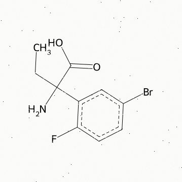 CCC(N)(C(=O)O)c1cc(Br)ccc1F